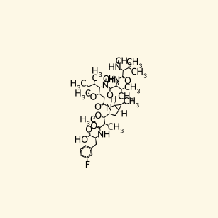 CC[C@H](C)[C@@H]([C@@H](CC(=O)N1[C@H]2[C@@H](C)[C@H]2C[C@H]1[C@H](OC)[C@@H](C)C(=O)N[C@@H](Cc1cccc(F)c1)C(=O)O)OC)N(C)C(=O)[C@@H](NC(=O)[C@@H](NC)C(C)C)C(C)C